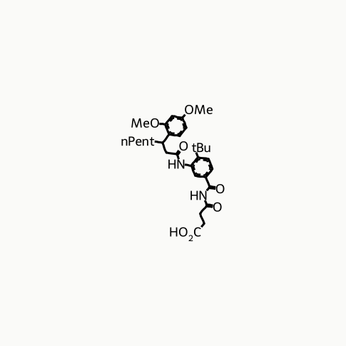 CCCCCC(CC(=O)Nc1cc(C(=O)NC(=O)CCC(=O)O)ccc1C(C)(C)C)c1ccc(OC)cc1OC